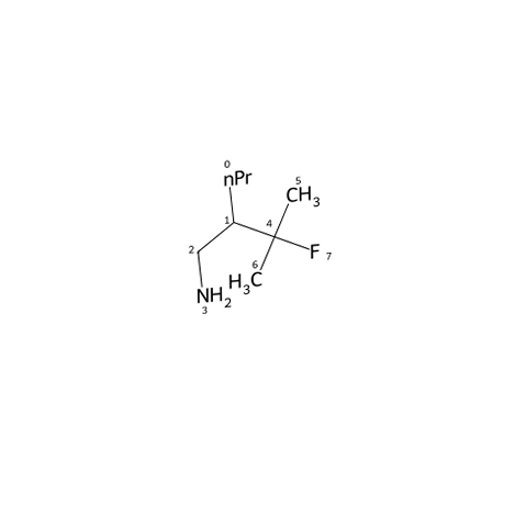 CCCC(CN)C(C)(C)F